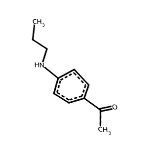 CCCNc1ccc(C(C)=O)cc1